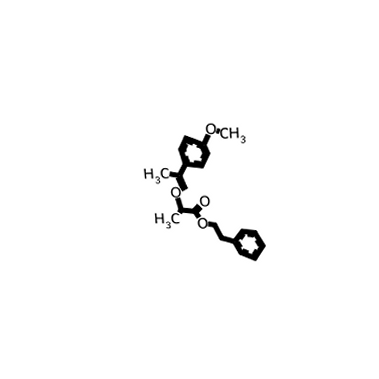 COc1ccc(C(C)=COC(C)C(=O)OCCc2ccccc2)cc1